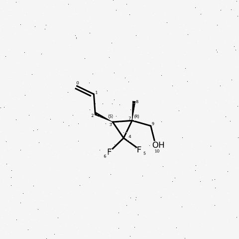 C=CC[C@@H]1C(F)(F)[C@@]1(C)CO